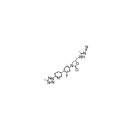 C/C(=N\C#N)NCC1CN(c2ccc(-c3ccc(-n4nnc(C)n4)nc3)c(F)c2)C(=O)O1